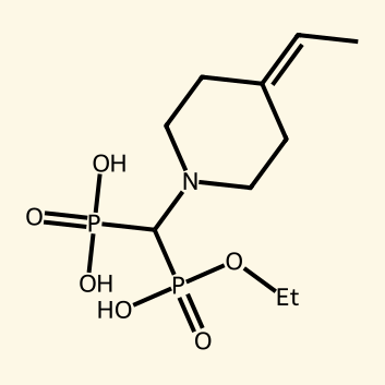 CC=C1CCN(C(P(=O)(O)O)P(=O)(O)OCC)CC1